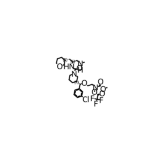 CNC[C@H](C[C@H]1CCCOC1)NC(=O)N1CCC[C@@H](C(OCCN(OC(=O)C(F)(F)F)C(=O)OC)c2cccc(Cl)c2)C1